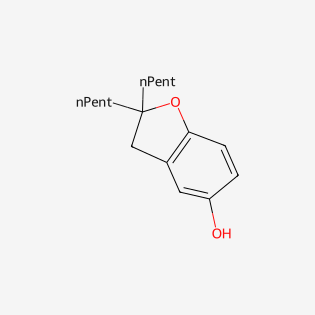 CCCCCC1(CCCCC)Cc2cc(O)ccc2O1